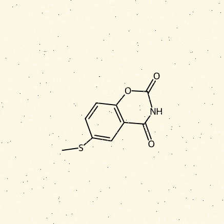 CSc1ccc2oc(=O)[nH]c(=O)c2c1